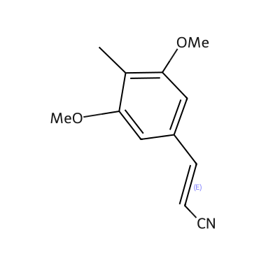 COc1cc(/C=C/C#N)cc(OC)c1C